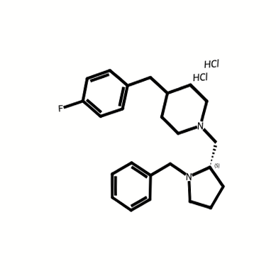 Cl.Cl.Fc1ccc(CC2CCN(C[C@@H]3CCCN3Cc3ccccc3)CC2)cc1